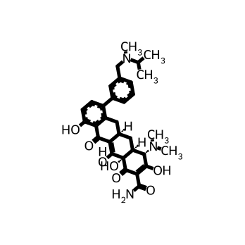 CC(C)N(C)Cc1cccc(-c2ccc(O)c3c2C[C@H]2C[C@H]4[C@H](N(C)C)C(O)=C(C(N)=O)C(=O)[C@@]4(O)C(O)=C2C3=O)c1